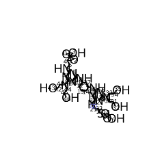 O=S(=O)(O)CCNc1nc(Nc2cccc(Nc3nc(/N=C\CSOOO)nc(N(CCO)CCO)n3)c2)nc(N(CCO)CCO)n1